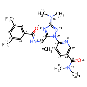 C[C@H](NC(=O)c1cc(C(F)(F)F)cc(C(F)(F)F)c1)c1nc(N(C)C)nn1-c1ccc(C(=O)N(C)C)cn1